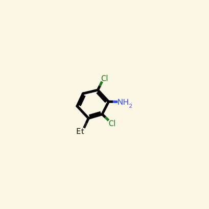 CCc1ccc(Cl)c(N)c1Cl